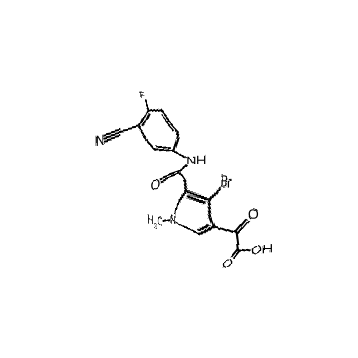 Cn1cc(C(=O)C(=O)O)c(Br)c1C(=O)Nc1ccc(F)c(C#N)c1